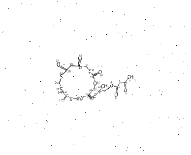 CC(=O)CC(=O)OCC(C)(C)[C@H]1OC(=O)CCC(=O)CC(=O)SCCNC(=O)CCNC1=O